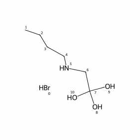 Br.CCCCNCC(O)(O)O